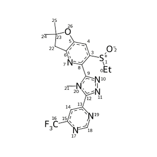 CC[S+]([O-])c1cc2c(nc1-c1nnc(-c3cc(C(F)(F)F)ncn3)n1C)CC(C)(C)O2